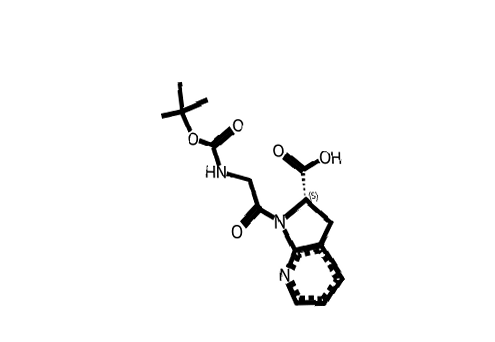 CC(C)(C)OC(=O)NCC(=O)N1c2ncccc2C[C@H]1C(=O)O